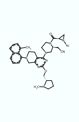 CC(=O)N1C[C@@H]1C(=O)N1CCN(c2nc(OC[C@@H]3CCCN3C)nc3c2CCN(c2cccc4cccc(C)c24)C3)C[C@@H]1CC#N